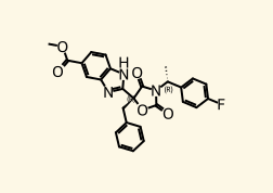 COC(=O)c1ccc2[nH]c([C@@]3(Cc4ccccc4)OC(=O)N([C@H](C)c4ccc(F)cc4)C3=O)nc2c1